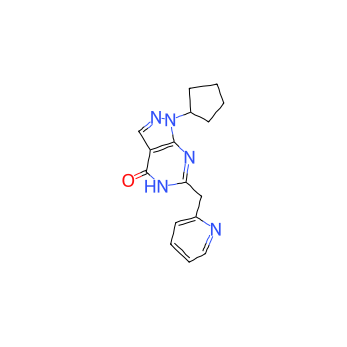 O=c1[nH]c(Cc2ccccn2)nc2c1cnn2C1CCCC1